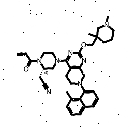 C=CC(=O)N1CCN(c2nc(OCC3(C)CCCN(C)C3)nc3c2CCN(c2cccc4cccc(C)c24)C3)C[C@@H]1CC#N